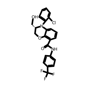 O=C(Nc1ccc(C(F)(F)F)cc1)c1cccc2c1OC[C@H](CO)N2c1ccccc1Cl